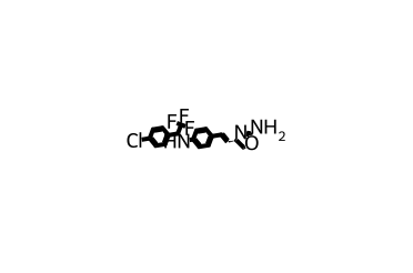 NC1=N[C@@H](C=Cc2ccc(N[C@H](c3ccc(Cl)cc3)C(F)(F)F)cc2)CO1